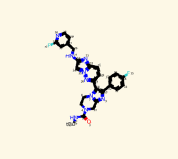 CC(C)(C)NC(=O)N1CCn2c(nc(-c3ccc(F)cc3)c2-c2ccc3nc(NCc4ccnc(F)c4)cn3n2)C1